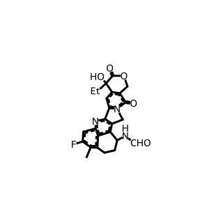 CCC1(O)C(=O)OCc2c1cc1n(c2=O)Cc2c-1nc1cc(F)c(C)c3c1c2C(NC=O)CC3